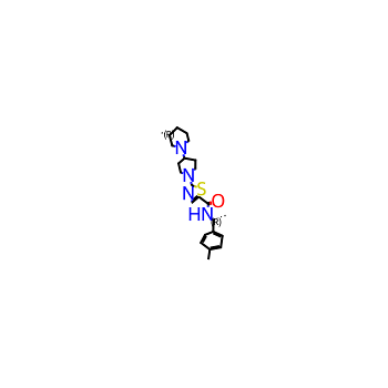 Cc1ccc([C@@H](C)NC(=O)c2cnc(N3CCC(N4CCC[C@@H](C)C4)CC3)s2)cc1